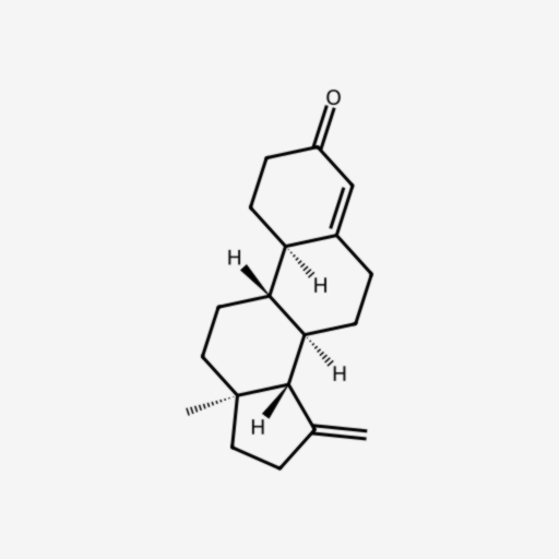 C=C1CC[C@@]2(C)CC[C@H]3[C@@H](CCC4=CC(=O)CC[C@@H]43)[C@H]12